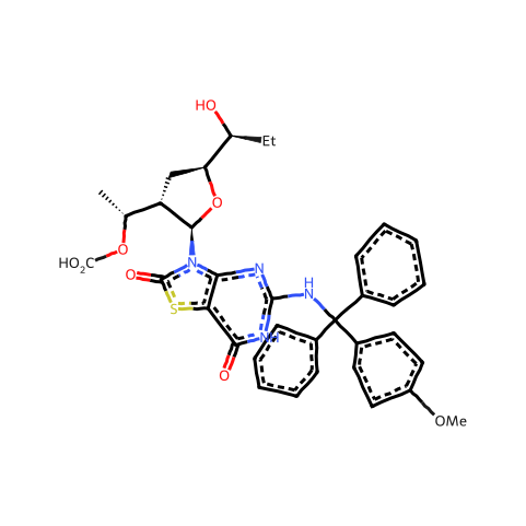 CC[C@H](O)[C@@H]1C[C@@H]([C@@H](C)OC(=O)O)[C@H](n2c(=O)sc3c(=O)[nH]c(NC(c4ccccc4)(c4ccccc4)c4ccc(OC)cc4)nc32)O1